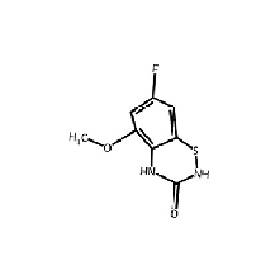 COc1cc(F)cc2c1NC(=O)NS2